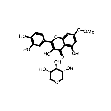 COOc1cc(O)c2c(=O)c(O)c(-c3ccc(O)c(O)c3)oc2c1.O[C@H]1[C@H](O)CO[CH][C@@H]1O